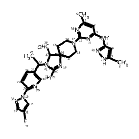 Cc1cc(Nc2cc(C)[nH]n2)nc(N2CCC3(CC2)N=C(C(C)C)N(C(C)c2ccc(-n4cc(F)cn4)nc2)C3C=O)n1